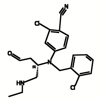 CCNC[C@H](CC=O)N(Cc1ccccc1Cl)c1ccc(C#N)c(Cl)c1